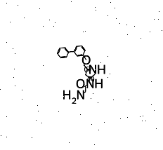 NCC(=O)N[C@H]1CN[C@H](COc2cccc(-c3ccccc3)c2)C1